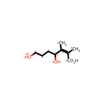 CC(C(=O)O)=C(C)C(O)CCCO